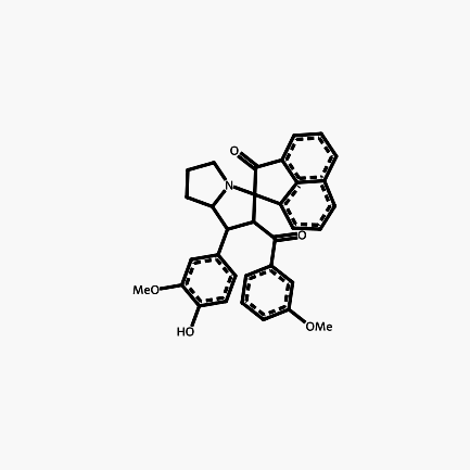 COc1cccc(C(=O)C2C(c3ccc(O)c(OC)c3)C3CCCN3C23C(=O)c2cccc4cccc3c24)c1